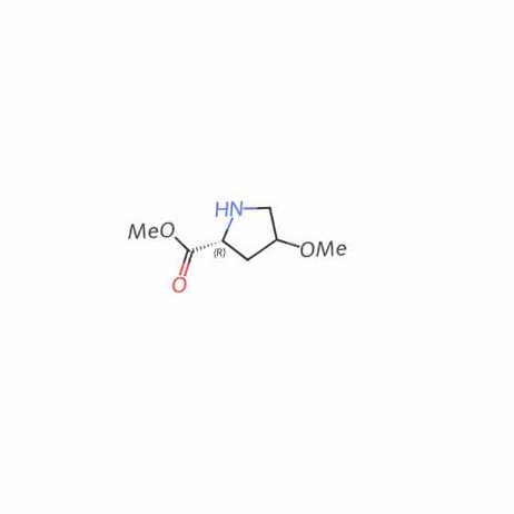 COC(=O)[C@H]1CC(OC)CN1